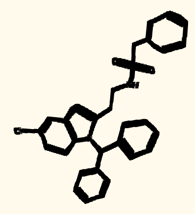 O=S(=O)(Cc1ccccc1)NCCc1cc2cc(Cl)ccc2n1C(c1ccccc1)c1ccccc1